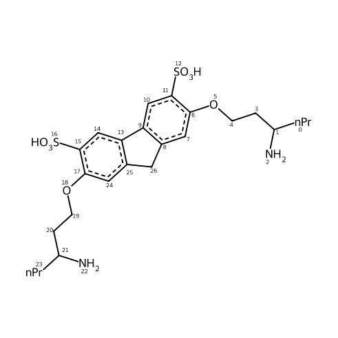 CCCC(N)CCOc1cc2c(cc1S(=O)(=O)O)-c1cc(S(=O)(=O)O)c(OCCC(N)CCC)cc1C2